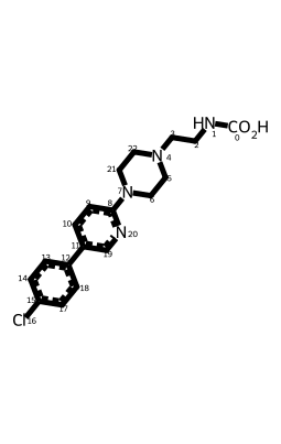 O=C(O)NCCN1CCN(c2ccc(-c3ccc(Cl)cc3)cn2)CC1